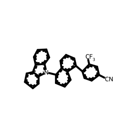 N#Cc1ccc(-c2cccc3c(-n4c5ccccc5c5ccccc54)cccc23)c(C(F)(F)F)c1